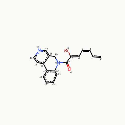 C=C/C=C\C=C(/Br)C(=O)N1Cc2cnccc2-c2ccccc21